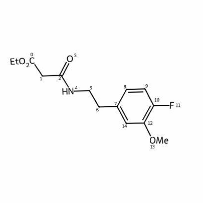 CCOC(=O)CC(=O)NCCc1ccc(F)c(OC)c1